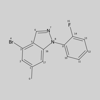 Cc1cc(Br)c2cnn(-c3ccccc3F)c2c1